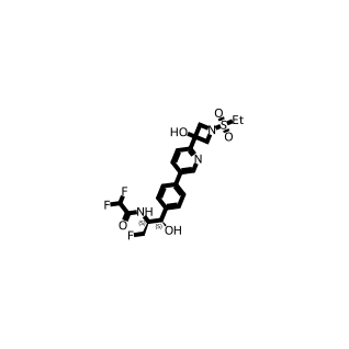 CCS(=O)(=O)N1CC(O)(c2ccc(-c3ccc([C@H](O)[C@@H](CF)NC(=O)C(F)F)cc3)cn2)C1